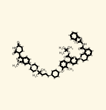 Cc1c(O[C@H]2CC[C@H](CCCC(C)(C)N3CCN(c4ccc5c(C6CCC(=O)NC6=O)nn(C)c5c4)CC3)CC2)cccc1-c1ccc(N2CCc3cccc(C(=O)Nc4nc5ccccc5s4)c3C2)nc1C(=O)OC(C)(C)C